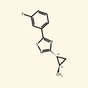 C[C@@H]1C[C@H]1c1nsc(-c2cccc(F)c2)n1